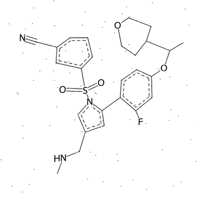 CNCc1cc(-c2ccc(OC(C)C3CCOCC3)cc2F)n(S(=O)(=O)c2cccc(C#N)c2)c1